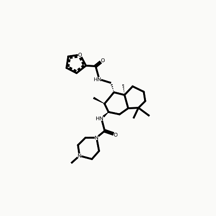 C[C@@H]1[C@H](NC(=O)N2CCN(C)CC2)CC2C(C)(C)CCC[C@]2(C)[C@H]1CNC(=O)c1ccco1